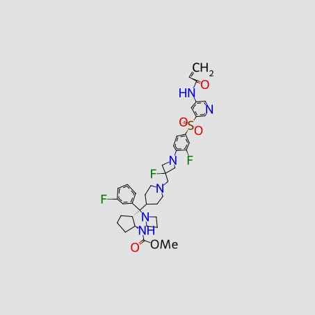 C=CC(=O)Nc1cncc(S(=O)(=O)c2ccc(N3CC(F)(CN4CCC(C(c5cccc(F)c5)([C@H]5CCC[C@@H]5NC(=O)OC)N5CCC5)CC4)C3)c(F)c2)c1